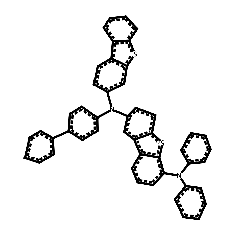 c1ccc(-c2ccc(N(c3ccc4c(c3)sc3ccccc34)c3ccc4sc5c(N(c6ccccc6)c6ccccc6)cccc5c4c3)cc2)cc1